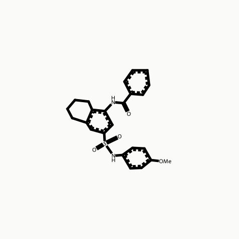 COc1ccc(NS(=O)(=O)c2cc3c(c(NC(=O)c4ccccc4)c2)CCCC3)cc1